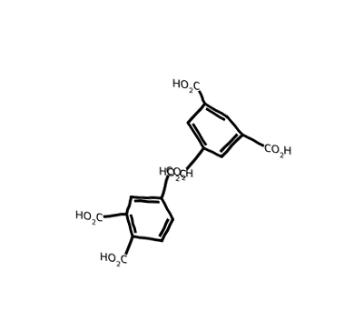 O=C(O)c1cc(C(=O)O)cc(C(=O)O)c1.O=C(O)c1ccc(C(=O)O)c(C(=O)O)c1